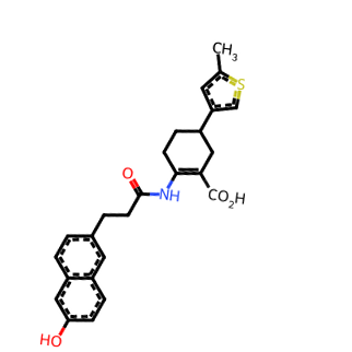 Cc1cc(C2CCC(NC(=O)CCc3ccc4cc(O)ccc4c3)=C(C(=O)O)C2)cs1